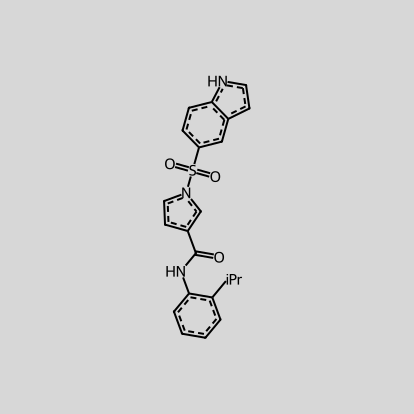 CC(C)c1ccccc1NC(=O)c1ccn(S(=O)(=O)c2ccc3[nH]ccc3c2)c1